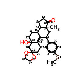 CSc1ccc(C2C[C@]3(C)C(=O)CCC3C3CC[C@@]4(O)CC5(CCC4=C23)OCCO5)cc1